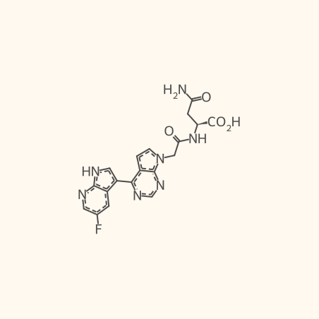 NC(=O)C[C@H](NC(=O)Cn1ccc2c(-c3c[nH]c4ncc(F)cc34)ncnc21)C(=O)O